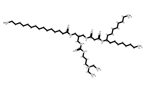 CCCCCCCCCCCCCCCC(=O)OCC(COC(=O)CC(=O)OC(CCCCCCCC)CCCCCCCC)COC(=O)OCCCN(CC)CC